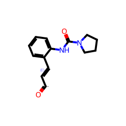 O=[C]/C=C/c1ccccc1NC(=O)N1CCCC1